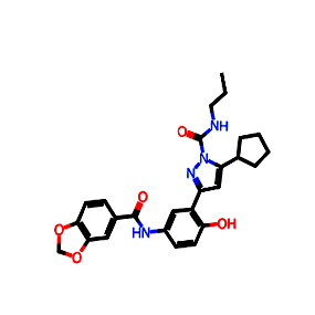 CCCNC(=O)n1nc(-c2cc(NC(=O)c3ccc4c(c3)OCO4)ccc2O)cc1C1CCCC1